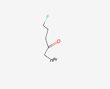 CCCCC(=O)CCCF